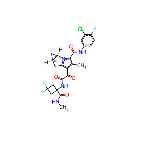 CNC(=O)C1(NC(=O)C(=O)c2c(C)c(C(=O)Nc3ccc(F)c(Cl)c3)n3c2C[C@H]2C[C@H]23)CC(F)(F)C1